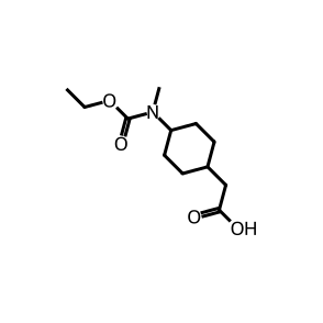 CCOC(=O)N(C)C1CCC(CC(=O)O)CC1